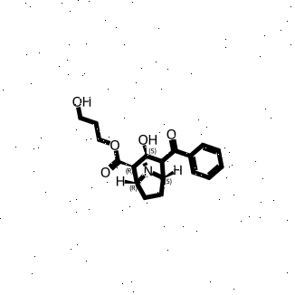 CN1[C@@H]2CC[C@H]1C(C(=O)c1ccccc1)[C@H](O)[C@@H]2C(=O)OCCCO